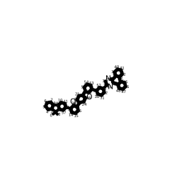 CC1(C)c2ccccc2-c2ccc(-c3cccc4c3oc3cc5c(cc34)oc3c(-c4cccc(-c6cnc7c8ccccc8c8ccccc8c7n6)c4)cccc35)cc21